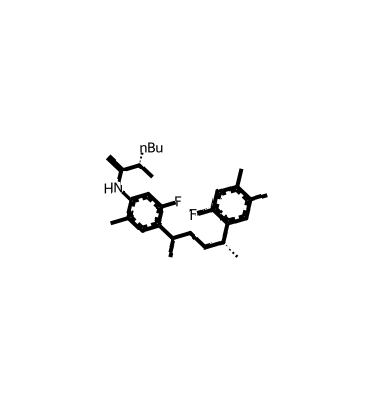 C=C(Nc1cc(F)c(C(C)CC[C@@H](C)c2cc(C)c(C)cc2F)cc1C)[C@@H](C)CCCC